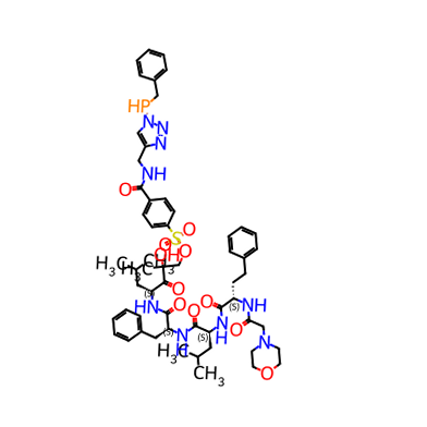 CC(C)C[C@H](NC(=O)[C@H](CCc1ccccc1)NC(=O)CN1CCOCC1)C(=O)N[C@@H](Cc1ccccc1)C(=O)N[C@@H](CC(C)C)C(=O)C(C)(O)COS(=O)(=O)c1ccc(C(=O)NCc2cn(PCc3ccccc3)nn2)cc1